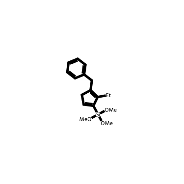 CCC1=C(Cc2ccccc2)CC=C1[Si](OC)(OC)OC